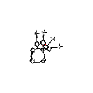 C[Si](C)(C)C#Cc1ccc(-c2c(-c3ccc(C#C[Si](C)(C)C)cc3)c3c(-c4ccc(C#C[Si](C)(C)C)cc4)c4nc(cc5ccc(cc6nc(cc2n3-c2ccc(C#C[Si](C)(C)C)cc2)C=C6)[nH]5)C=C4)cc1